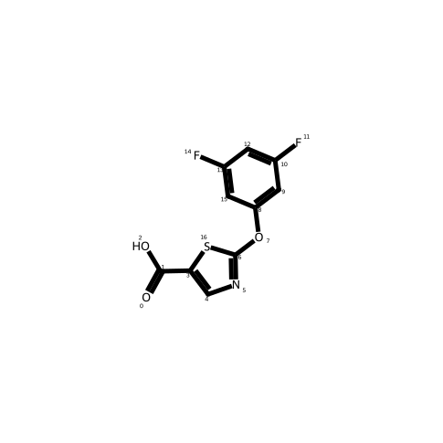 O=C(O)c1cnc(Oc2cc(F)cc(F)c2)s1